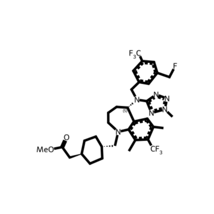 COC(=O)C[C@H]1CC[C@H](CN2CCC[C@H](N(Cc3cc(CF)cc(C(F)(F)F)c3)c3nnn(C)n3)c3cc(C)c(C(F)(F)F)c(C)c32)CC1